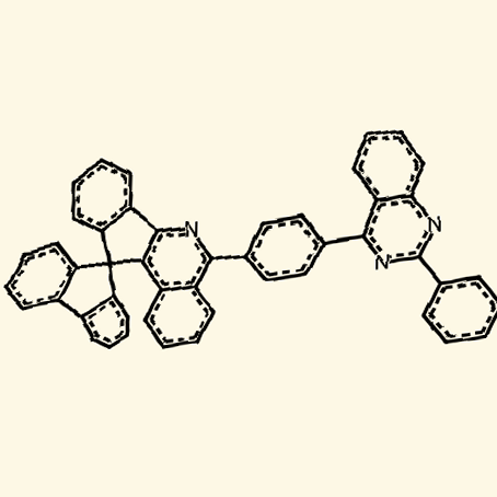 c1ccc(-c2nc(-c3ccc(-c4nc5c(c6ccccc46)C4(c6ccccc6-c6ccccc64)c4ccccc4-5)cc3)c3ccccc3n2)cc1